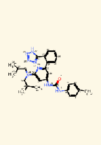 Cc1ccc(NC(=O)Nc2cc(-c3ccccc3-c3nnn[nH]3)nc(N(CC(C)C)CC(C)C)c2)cc1